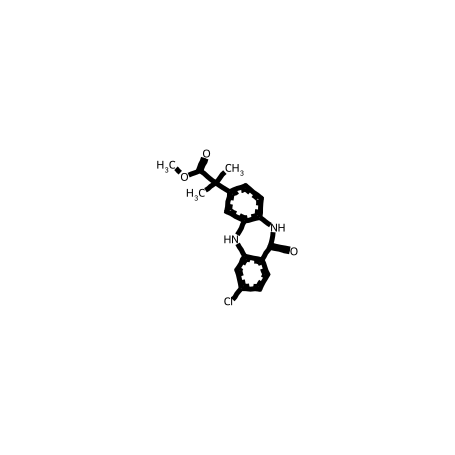 COC(=O)C(C)(C)c1ccc2c(c1)Nc1cc(Cl)ccc1C(=O)N2